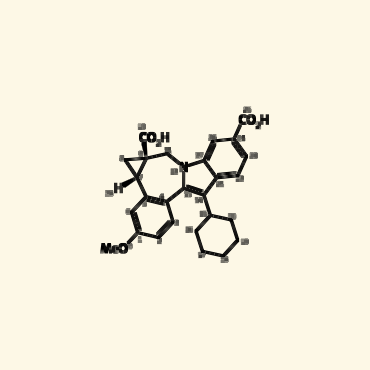 COc1ccc2c(c1)[C@@H]1C[C@]1(C(=O)O)Cn1c-2c(C2CCCCC2)c2ccc(C(=O)O)cc21